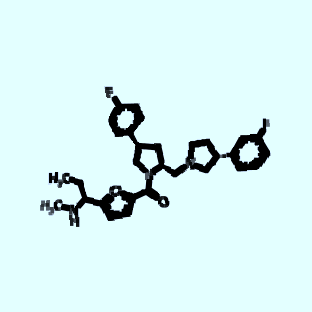 CCC(NC)c1ccc(C(=O)N2C[C@@H](c3ccc(F)cc3)C[C@H]2CN2CC[C@H](c3cccc(F)c3)C2)o1